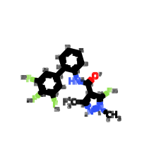 Cn1nc(C(F)(F)F)c(C(=O)Nc2ccccc2-c2cc(F)c(F)c(F)c2)c1F